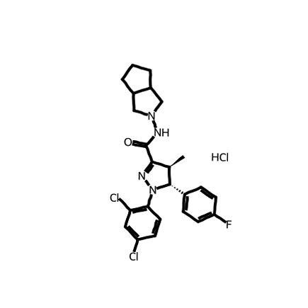 C[C@@H]1C(C(=O)NN2CC3CCCC3C2)=NN(c2ccc(Cl)cc2Cl)[C@H]1c1ccc(F)cc1.Cl